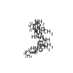 COc1nc(Nc2n[nH]c3c2CN(C(=O)N[C@@H]2C[C@H]2c2ccccc2)C3(C)C)nc(N2CCC[C@H]2C(N)=O)n1